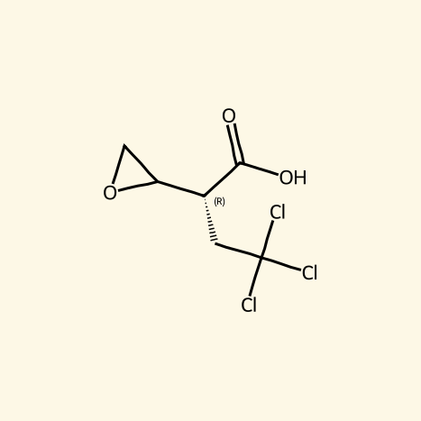 O=C(O)[C@H](CC(Cl)(Cl)Cl)C1CO1